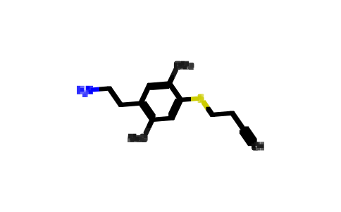 C#CCCSc1cc(OC)c(CCN)cc1OC